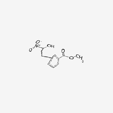 COC(=O)c1cccc(CC(O)[N+](=O)[O-])c1